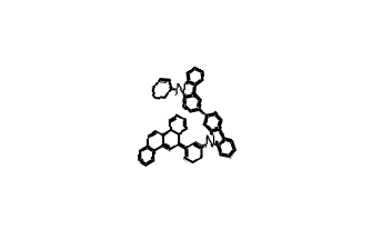 C1=CC2C(C3=CCCC(n4c5ccccc5c5ccc(-c6ccc7c(c6)c6ccccc6n7C6C=CCCC6)cc54)=C3)C=C3c4ccccc4C=CC3C2C=C1